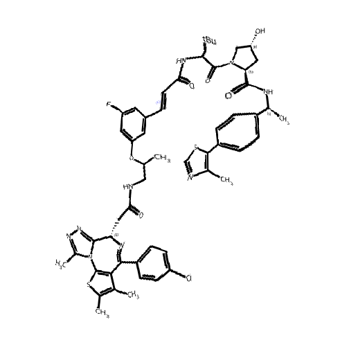 Cc1ncsc1-c1ccc([C@H](C)NC(=O)[C@@H]2C[C@@H](O)CN2C(=O)C(NC(=O)/C=C/c2cc(F)cc(OC(C)CNC(=O)C[C@@H]3N=C(c4ccc(Cl)cc4)c4c(sc(C)c4C)-n4c(C)nnc43)c2)C(C)(C)C)cc1